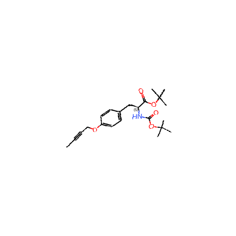 CC#CCOc1ccc(C[C@H](NC(=O)OC(C)(C)C)C(=O)OC(C)(C)C)cc1